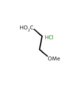 COCCC(=O)O.Cl